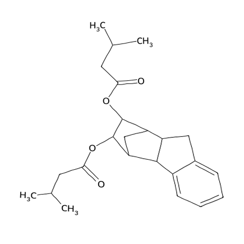 CC(C)CC(=O)OC1C2CC(C1OC(=O)CC(C)C)C1c3ccccc3CC21